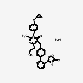 CCCc1nc(C)n(-c2ccc(OC3CC3)cc2)c(=O)c1Cc1ccc(-c2ccccc2-c2noc(=O)[nH]2)cc1.[NaH]